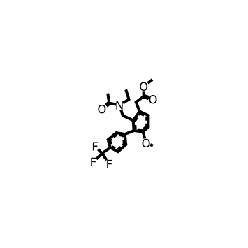 CCN(Cc1c(CC(=O)OC)ccc(OC)c1-c1ccc(C(F)(F)F)cc1)C(C)=O